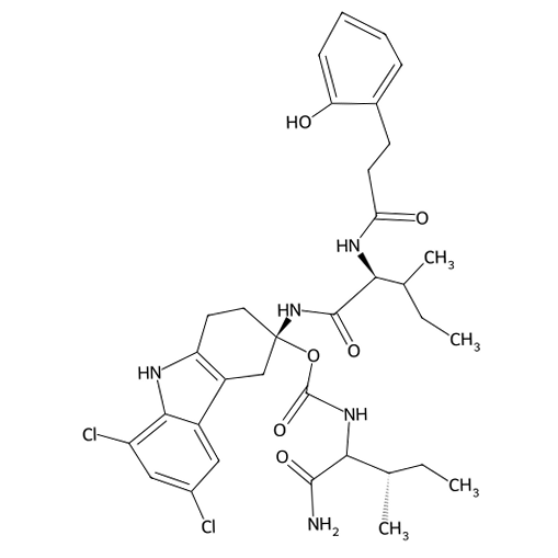 CCC(C)[C@H](NC(=O)CCc1ccccc1O)C(=O)N[C@]1(OC(=O)NC(C(N)=O)[C@@H](C)CC)CCc2[nH]c3c(Cl)cc(Cl)cc3c2C1